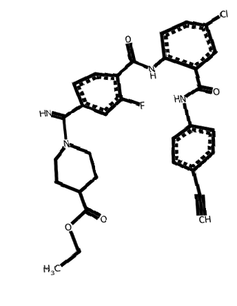 C#Cc1ccc(NC(=O)c2cc(Cl)ccc2NC(=O)c2ccc(C(=N)N3CCC(C(=O)OCC)CC3)cc2F)cc1